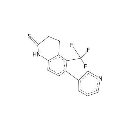 FC(F)(F)c1c(-c2cccnc2)ccc2c1CCC(=S)N2